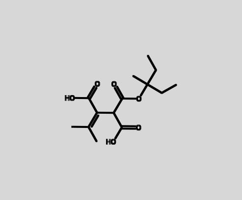 CCC(C)(CC)OC(=O)C(C(=O)O)C(C(=O)O)=C(C)C